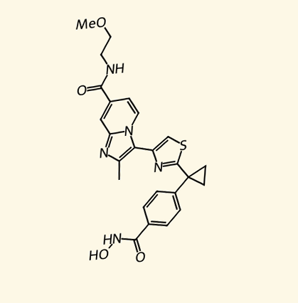 COCCNC(=O)c1ccn2c(-c3csc(C4(c5ccc(C(=O)NO)cc5)CC4)n3)c(C)nc2c1